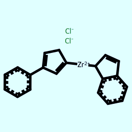 C1=C[CH]([Zr+2][C]2=CC(c3ccccc3)=CC2)c2ccccc21.[Cl-].[Cl-]